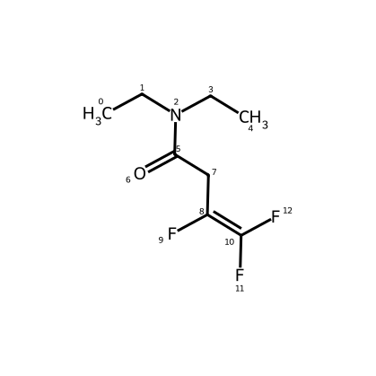 CCN(CC)C(=O)CC(F)=C(F)F